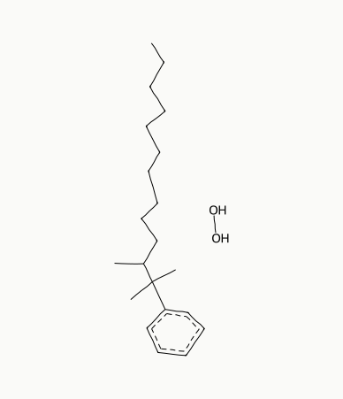 CCCCCCCCCCC(C)C(C)(C)c1ccccc1.OO